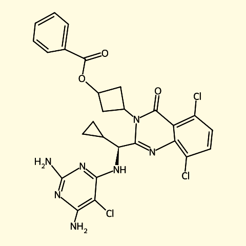 Nc1nc(N)c(Cl)c(N[C@H](c2nc3c(Cl)ccc(Cl)c3c(=O)n2C2CC(OC(=O)c3ccccc3)C2)C2CC2)n1